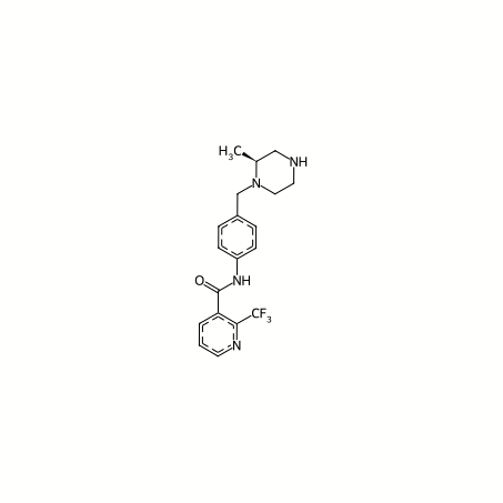 C[C@H]1CNCCN1Cc1ccc(NC(=O)c2cccnc2C(F)(F)F)cc1